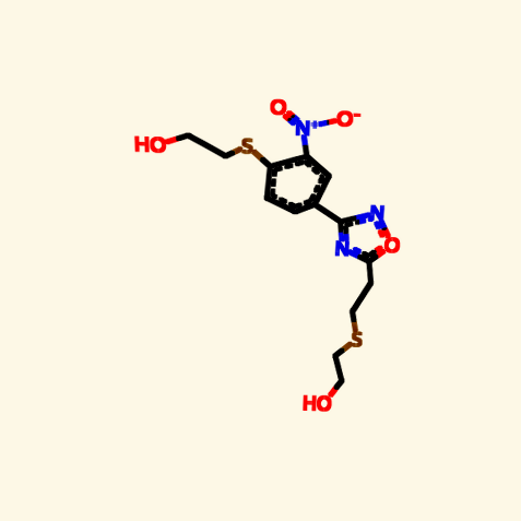 O=[N+]([O-])c1cc(-c2noc(CCSCCO)n2)ccc1SCCO